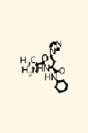 CC(N)C(=O)NC(CCn1ccnc1)C(=O)NC1CCCCC1